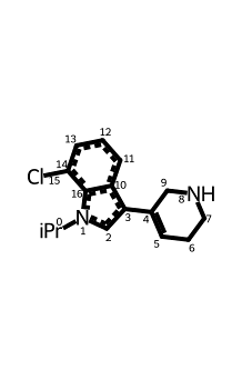 CC(C)n1cc(C2=CCCNC2)c2cccc(Cl)c21